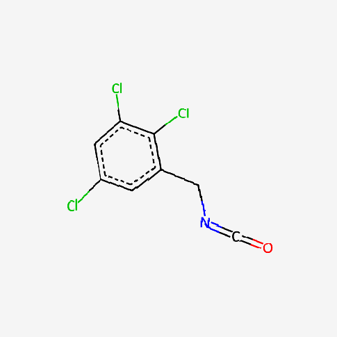 O=C=NCc1cc(Cl)cc(Cl)c1Cl